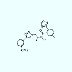 CCN(C(=O)c1cc(C)ccc1-n1nccn1)[C@@H](C)Cn1cc(-c2cccc(OC)c2)nn1